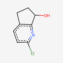 OC1CCc2ccc(Cl)nc21